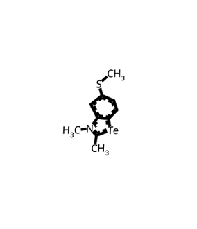 CSc1ccc2[te]c(C)[n+](C)c2c1